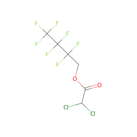 O=C(OCC(F)(F)C(F)(F)C(F)(F)F)C(Cl)Cl